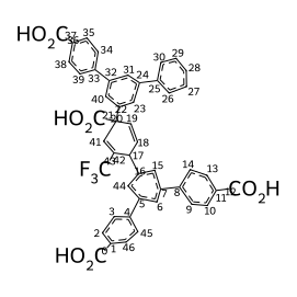 O=C(O)c1ccc(-c2cc(-c3ccc(C(=O)O)cc3)cc(C3C=CC(C(=O)O)(c4cc(-c5ccccc5)cc(-c5ccc(C(=O)O)cc5)c4)C=C3C(F)(F)F)c2)cc1